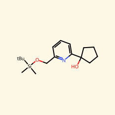 CC(C)(C)[Si](C)(C)OCc1cccc(C2(O)CCCC2)n1